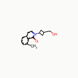 Cc1cccc2ccn(C3CC(CO)C3)c(=O)c12